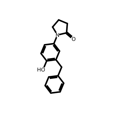 O=C1CCCN1c1ccc(O)c(Cc2ccccc2)c1